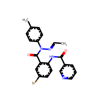 CC=NN(C(=O)c1cc(Br)ccc1NC(=O)c1cccnc1)c1ccc(C)cc1